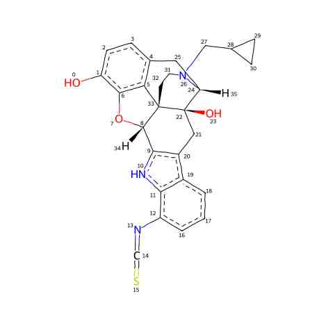 Oc1ccc2c3c1O[C@H]1c4[nH]c5c(N=C=S)cccc5c4C[C@@]4(O)[C@@H](C2)N(CC2CC2)CC[C@]314